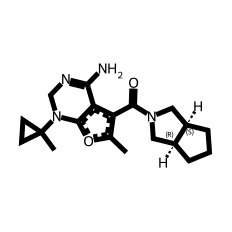 Cc1oc2c(c1C(=O)N1C[C@H]3CCC[C@H]3C1)C(N)=NCN2C1(C)CC1